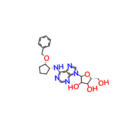 OC[C@H]1OC(n2cnc3c(N[C@@H]4CCC[C@@H]4OCc4ccccc4)ncnc32)[C@H](O)[C@@H]1O